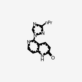 CCCc1ncn(-c2nccc3[nH]c(=O)ccc23)n1